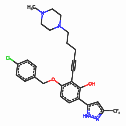 CN1CCN(CCCC#Cc2c(OCc3ccc(Cl)cc3)ccc(-c3cc(C(F)(F)F)n[nH]3)c2O)CC1